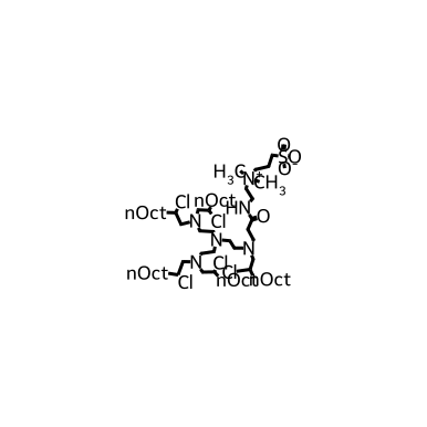 CCCCCCCCC(Cl)CN(CCC(=O)NCC[N+](C)(C)CCCS(=O)(=O)[O-])CCN(CCN(CC(Cl)CCCCCCCC)CC(Cl)CCCCCCCC)CCN(CC(Cl)CCCCCCCC)CC(Cl)CCCCCCCC